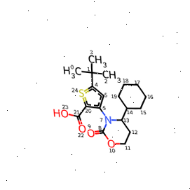 CC(C)(C)c1cc(N2C(=O)OCCC2C2CCCCC2)c(C(=O)O)s1